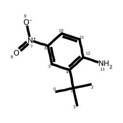 CC(C)(C)c1cc([N+](=O)[O-])ccc1N